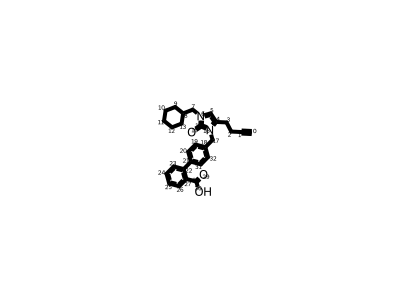 C#CCCc1cn(CC2CCCCC2)c(=O)n1Cc1ccc(-c2ccccc2C(=O)O)cc1